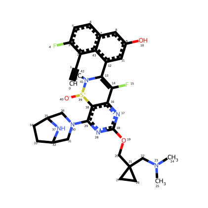 C#Cc1c(F)ccc2cc(O)cc(C3=C(F)c4nc(OCC5(CN(C)C)CC5)nc(N5CC6CCC(C5)N6)c4[S+]([O-])N3C)c12